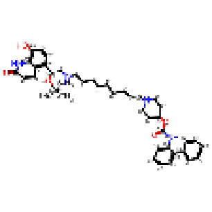 CC(C)(C)[Si](C)(C)O[C@H](CNCCCCCCCCCN1CCC(OC(=O)Nc2ccccc2-c2ccccc2)CC1)c1ccc(O)c2[nH]c(=O)ccc12